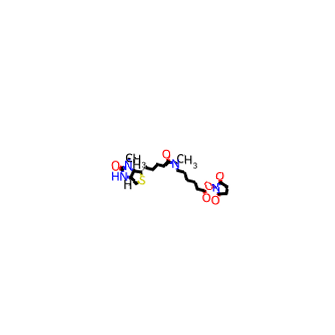 CN(CCCCCC(=O)ON1C(=O)CCC1=O)C(=O)CCCC[C@@H]1SC[C@@H]2NC(=O)N(C)[C@@H]21